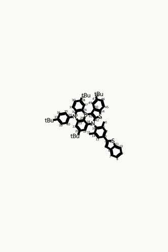 Cc1cc(-c2cc3ccccc3s2)cc(C)c1N1c2cc(C(C)(C)C)cc3c2B(c2cc(C(C)(C)C)ccc2N3c2ccc(C(C)(C)C)cc2)c2c1sc1ccc(C(C)(C)C)cc21